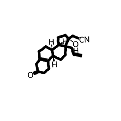 C=CCC12CC[C@@H]3C4=C(CC[C@H]3[C@@H]1CC[C@@]2(O)CC#N)CC(=O)CC4